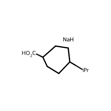 CC(C)C1CCC(C(=O)O)CC1.[NaH]